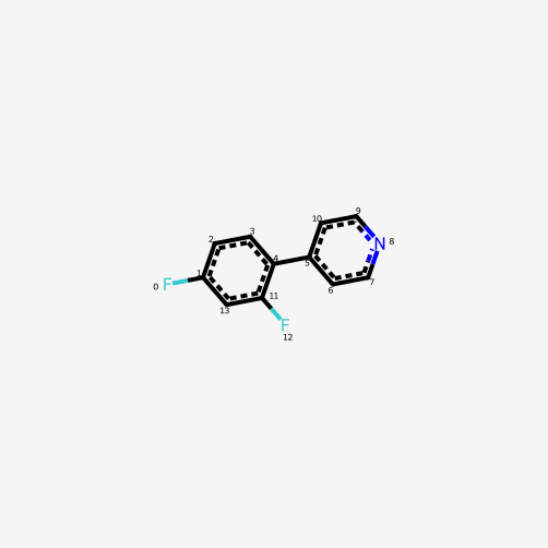 Fc1ccc(-c2ccncc2)c(F)c1